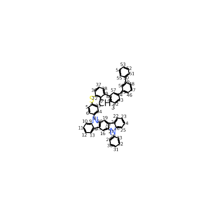 Cc1c(Sc2ccc(-n3c4ccccc4c4cc5c(cc43)c3ccccc3n5-c3ccccc3)cc2)cccc1-c1cccc(-c2cccc(-c3ccccc3)c2)c1